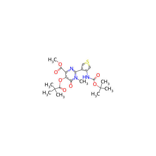 COC(=O)c1nc(-c2cscc2NC(=O)OC(C)(C)C)n(C)c(=O)c1OC(=O)C(C)(C)C